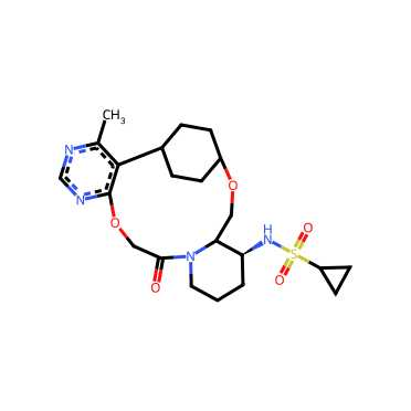 Cc1ncnc2c1C1CCC(CC1)OCC1[C@@H](NS(=O)(=O)C3CC3)CCCN1C(=O)CO2